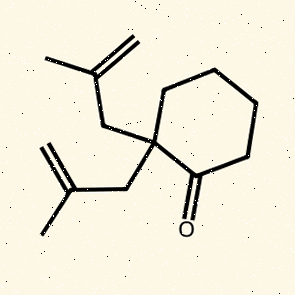 C=C(C)CC1(CC(=C)C)CCCCC1=O